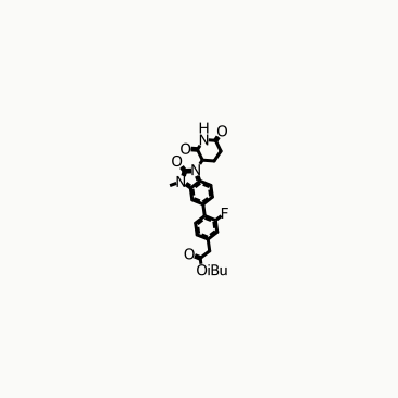 CC(C)COC(=O)Cc1ccc(-c2ccc3c(c2)n(C)c(=O)n3C2CCC(=O)NC2=O)c(F)c1